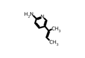 C/C=C(\C)c1ccc(N)nc1